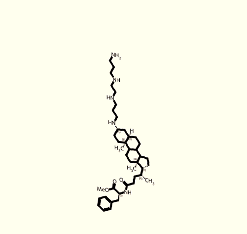 COC(=O)[C@H](Cc1ccccc1)NC(=O)CC[C@@H](C)[C@H]1CCC2C3CC[C@@H]4C[C@@H](NCCCNCCNCCCN)CC[C@]4(C)C3CC[C@@]21C